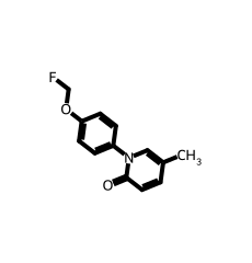 Cc1ccc(=O)n(-c2ccc(OCF)cc2)c1